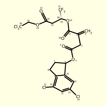 C=C(CC(=O)OC1CCc2c(Cl)cc(Cl)cc21)C(=O)O[C@H](CC(=O)OCC(Cl)(Cl)Cl)C(F)(F)F